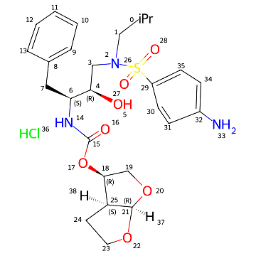 CC(C)CN(C[C@@H](O)[C@H](Cc1ccccc1)NC(=O)O[C@H]1CO[C@H]2OCC[C@H]21)S(=O)(=O)c1ccc(N)cc1.Cl